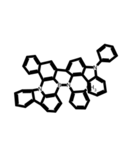 Cc1ccccc1N1B2c3c(cc4ccccc4c3-n3c4ccccc4c4cccc2c43)-c2ccc3c(c21)c1ccccc1n3-c1ccccc1